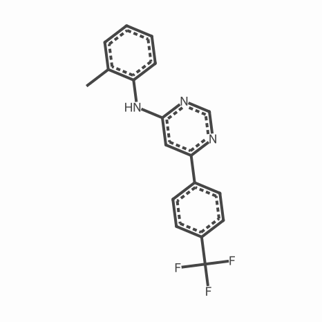 Cc1ccccc1Nc1cc(-c2ccc(C(F)(F)F)cc2)ncn1